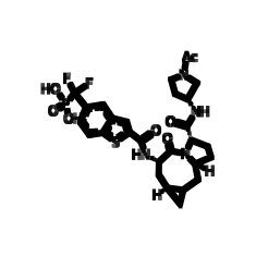 CC(=O)N1CC[C@@H](NC(=O)[C@@H]2CC[C@@H]3CC4C[C@H]4C[C@H](NC(=O)c4cc5cc(C(F)(F)P(=O)(O)O)ccc5s4)C(=O)N32)C1